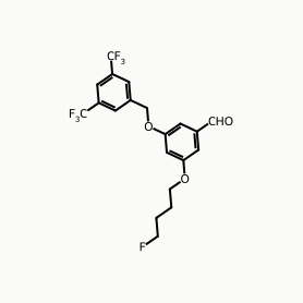 O=Cc1cc(OCCCCF)cc(OCc2cc(C(F)(F)F)cc(C(F)(F)F)c2)c1